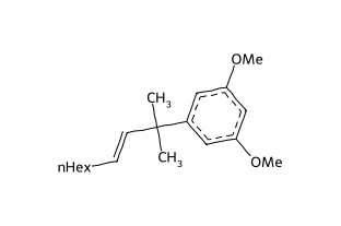 CCCCCCC=CC(C)(C)c1cc(OC)cc(OC)c1